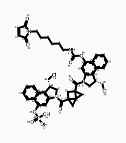 O=C(NCCCCCCN1C(=O)C=CC1=O)Oc1cc2c(c3ccccc13)[C@H](CCl)CN2C(=O)C12CC3(C(=O)N4C[C@@H](CCl)c5c4cc(OP(=O)(O)O)c4ccccc54)CC13C2